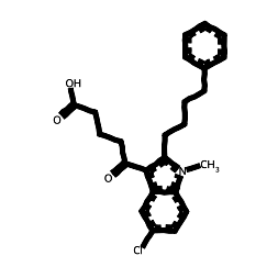 Cn1c(CCCCc2ccccc2)c(C(=O)CCCC(=O)O)c2cc(Cl)ccc21